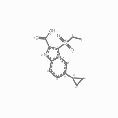 CCS(=O)(=O)c1c(C(=O)O)nc2ccc(C3CC3)cn12